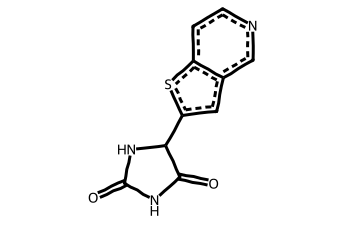 O=C1NC(=O)C(c2cc3cnccc3s2)N1